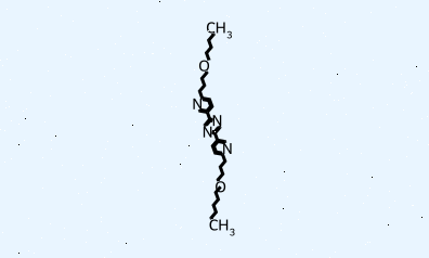 CCCCCCOCCCCc1ccc(-c2cnc(-c3ccc(CCCCOCCCCCC)nc3)cn2)cn1